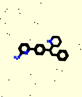 Nc1cccc(-c2ccc(C(Cc3ccccc3)C3CCCCN3)cc2)n1